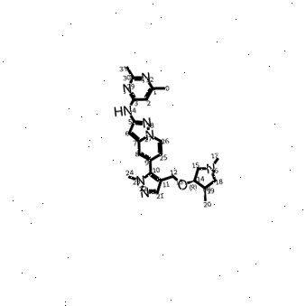 Cc1cc(Nc2cc3cc(-c4c(CO[C@H]5CN(C)C[C@H]5C)cnn4C)ccn3n2)nc(C)n1